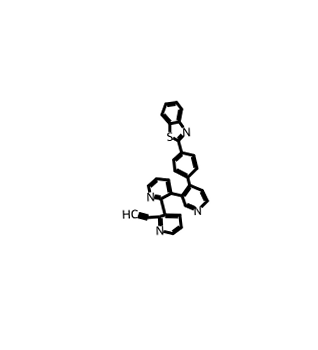 C#Cc1ncccc1-c1ncccc1-c1cnccc1-c1ccc(-c2nc3ccccc3s2)cc1